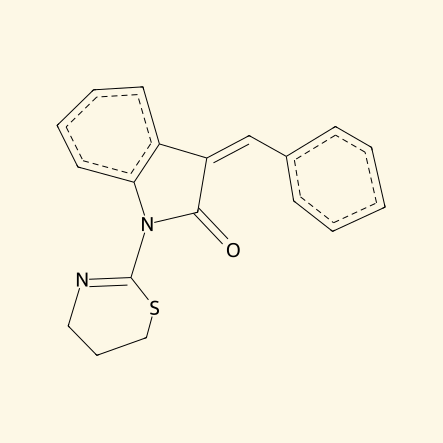 O=C1C(=Cc2ccccc2)c2ccccc2N1C1=NCCCS1